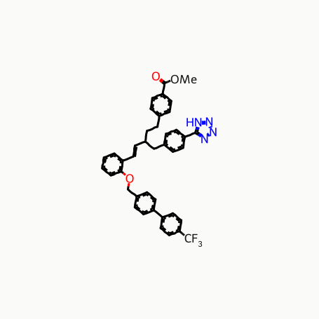 COC(=O)c1ccc(CCC(C=Cc2ccccc2OCc2ccc(-c3ccc(C(F)(F)F)cc3)cc2)Cc2ccc(-c3nnn[nH]3)cc2)cc1